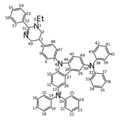 CCN1CC(c2ccc(-n3c4ccc(N(c5ccccc5)c5ccccc5)cc4c4cc(N(c5ccccc5)c5ccccc5)ccc43)cc2)CN=C1c1ccccc1